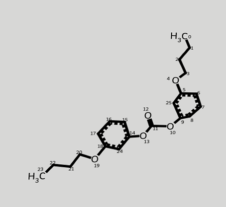 CCCCOc1cccc(OC(=O)Oc2cccc(OCCCC)c2)c1